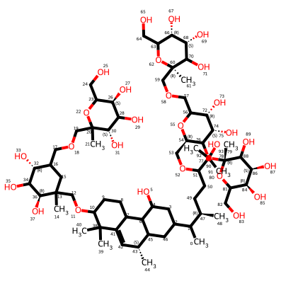 CC(C1CC(O)C2C3CCC(OCC4(C)CC(COCC5(C)OC(CO)[C@@H](O)C(O)[C@@H]5O)[C@@H](O)C(O)[C@@H]4O)C(C)(C)C3=C[C@@H](C)C2C1)[C@H](C)CCC(OC[C@H]1OC(COC[C@@]2(C)OC(CO)[C@H](O)[C@H](O)C2O)[C@H](O)[C@H](O)C1O[C@@]1(C)OC(CO)[C@H](O)[C@H](O)C1O)C(C)(C)O